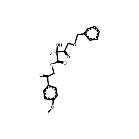 COc1ccc(C(=O)COC(=O)[C@@](C)(O)C(=O)COCc2ccccc2)cc1